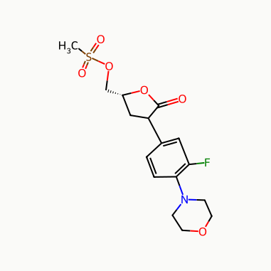 CS(=O)(=O)OC[C@H]1CC(c2ccc(N3CCOCC3)c(F)c2)C(=O)O1